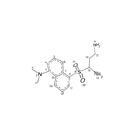 CN(C)c1cccc2c(S(=O)(=O)C(N)CCN)cccc12